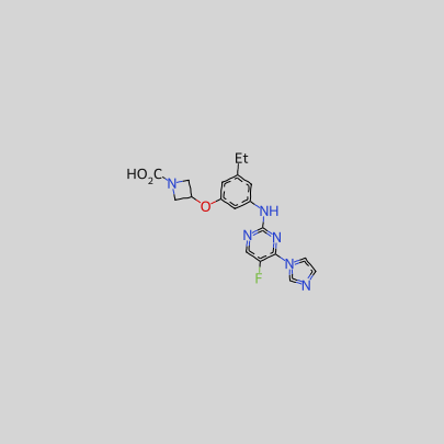 CCc1cc(Nc2ncc(F)c(-n3ccnc3)n2)cc(OC2CN(C(=O)O)C2)c1